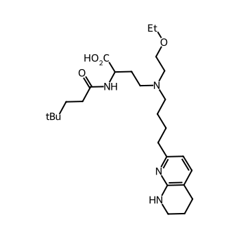 CCOCCN(CCCCc1ccc2c(n1)NCCC2)CCC(NC(=O)CCC(C)(C)C)C(=O)O